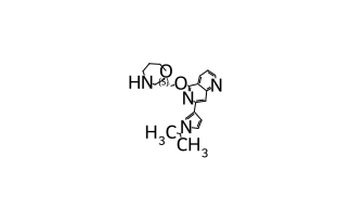 CC(C)n1ccc(-c2cc3ncccc3c(OC[C@@H]3CNCCCO3)n2)c1